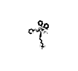 CC(C)(C)[Si](O[C@H](CC#CCCCCC(F)(F)F)COC1CCCCO1)(c1ccccc1)c1ccccc1